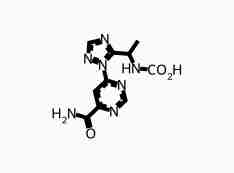 CC(NC(=O)O)c1ncnn1-c1cc(C(N)=O)ncn1